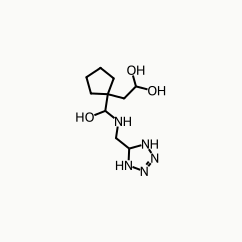 OC(O)CC1(C(O)NCC2NN=NN2)CCCC1